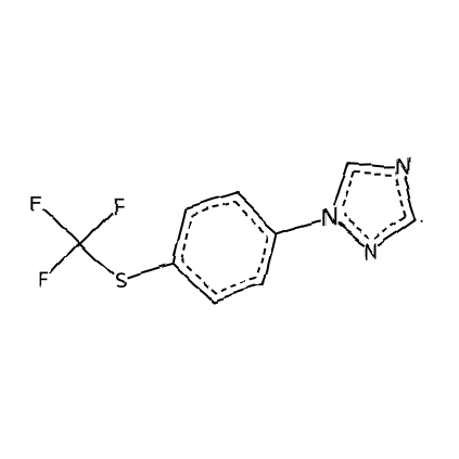 FC(F)(F)Sc1ccc(-n2cn[c]n2)cc1